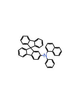 c1ccc(N(c2ccc3c(c2)C2(c4ccccc4-c4ccccc42)c2ccccc2-3)c2cccc3ccccc23)cc1